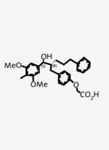 COc1cc([C@@H](O)[C@H](CCCc2ccccc2)Cc2ccc(OCC(=O)O)cc2)cc(OC)c1C